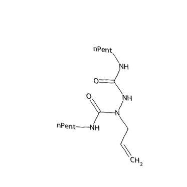 C=CCN(NC(=O)NCCCCC)C(=O)NCCCCC